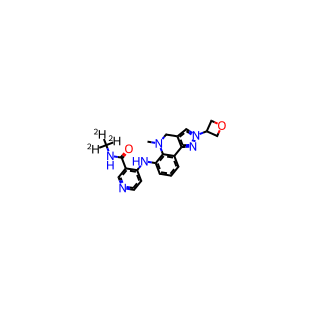 [2H]C([2H])([2H])NC(=O)c1cnccc1Nc1cccc2c1N(C)Cc1cn(C3COC3)nc1-2